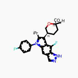 CC(C)c1c([C@@H]2CC[C@@](C)(C(=O)O)OC2)c2c(F)c3[nH]ncc3cc2n1-c1ccc(F)cc1